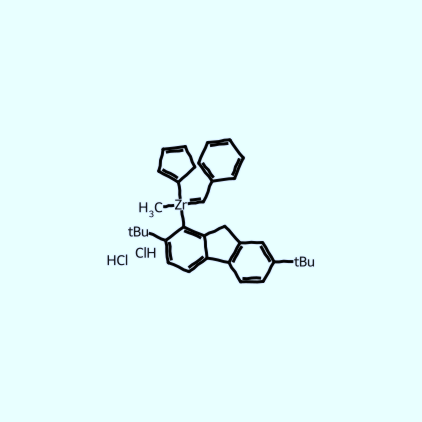 CC(C)(C)c1ccc2c(c1)Cc1c-2ccc(C(C)(C)C)[c]1[Zr]([CH3])(=[CH]c1ccccc1)[C]1=CC=CC1.Cl.Cl